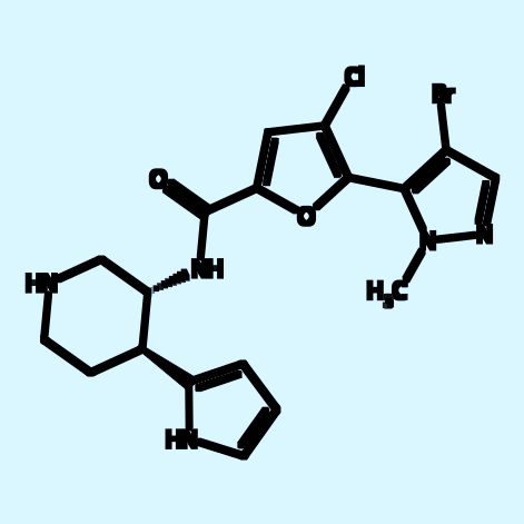 Cn1ncc(Br)c1-c1oc(C(=O)N[C@H]2CNCC[C@@H]2c2ccc[nH]2)cc1Cl